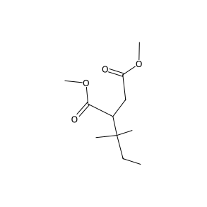 CCC(C)(C)C(CC(=O)OC)C(=O)OC